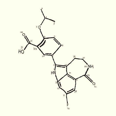 CC(C)Oc1ccc(-c2[nH]c3cc(F)cc4c3c2CCNC4=O)cc1C(=O)O